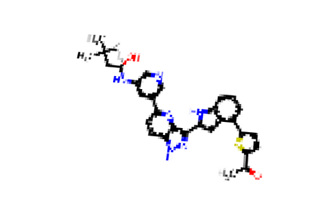 CC(=O)c1ccc(-c2cccc3[nH]c(-c4n[nH]c5ccc(-c6cncc(NC(O)CC(C)(C)C)c6)nc45)cc23)s1